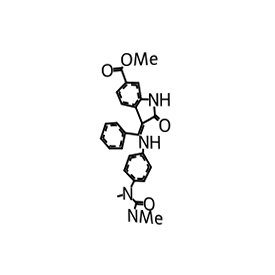 CNC(=O)N(C)c1ccc(N/C(=C2\C(=O)Nc3cc(C(=O)OC)ccc32)c2ccccc2)cc1